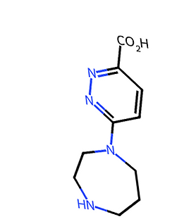 O=C(O)c1ccc(N2CCCNCC2)nn1